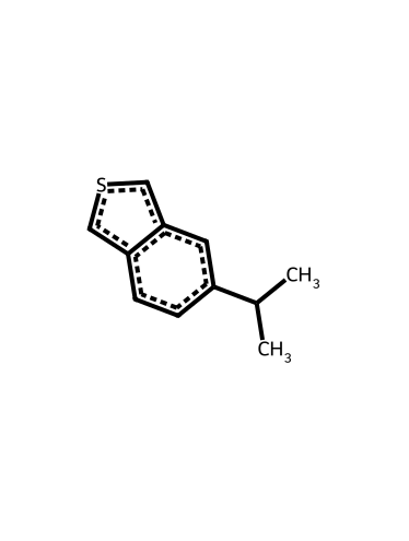 CC(C)c1ccc2cscc2c1